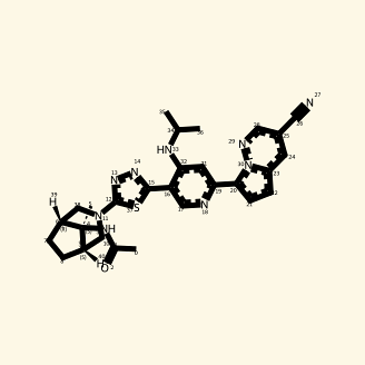 CC(=O)N[C@]1(C)[C@@H]2CC[C@H]1CN(c1nnc(-c3cnc(-c4ccc5cc(C#N)cnn45)cc3NC(C)C)s1)C2